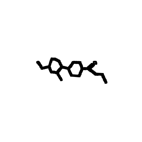 CCCC(=O)C1CCC(C2CCC(CC)CC2C)CC1